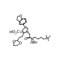 CCCCN(CCCC[N+](C)(C)C)C(=O)CN1C[C@H](c2ccc3c(c2)CCO3)[C@@H](C(=O)O)[C@@H]1CCC1OCCO1